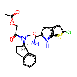 CC(=O)OCC(=O)N(C)[C@]1(NC(=O)c2cc3cc(Cl)sc3[nH]2)CCc2ccccc21